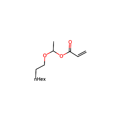 C=CC(=O)OC(C)OCCCCCCCC